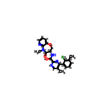 Cc1cnc(C(=O)N[C@H]2COc3cccnc3N(C)C2=O)nc1-c1cccc(C)c1F